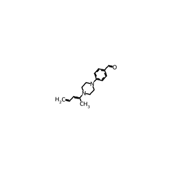 C=C/C=C(\C)N1CCN(c2ccc(C=O)cc2)CC1